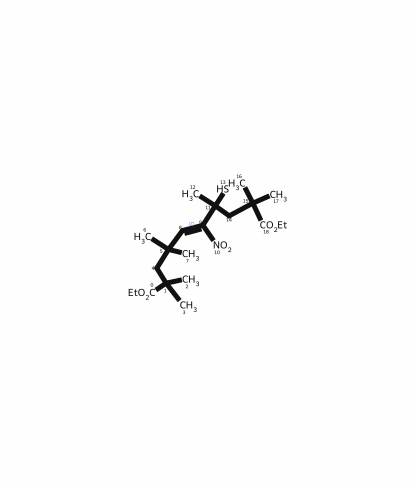 CCOC(=O)C(C)(C)CC(C)(C)/C=C(\[N+](=O)[O-])C(C)(S)CC(C)(C)C(=O)OCC